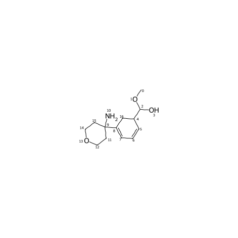 COC(O)C1C=CC=C(C2(N)CCOCC2)C1